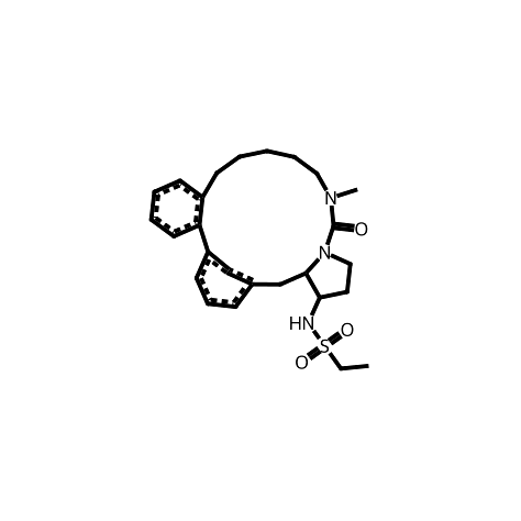 CCS(=O)(=O)NC1CCN2C(=O)N(C)CCCCCc3ccccc3-c3cccc(c3)CC12